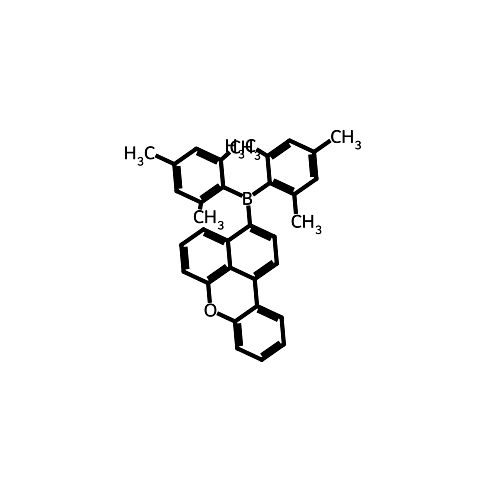 Cc1cc(C)c(B(c2c(C)cc(C)cc2C)c2ccc3c4c(cccc24)Oc2ccccc2-3)c(C)c1